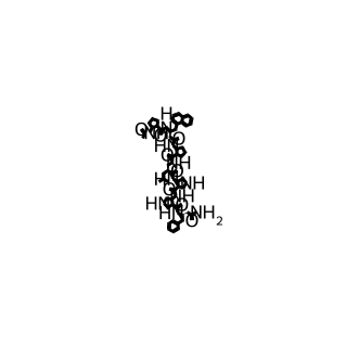 CC(=O)NC1CCCC1C(=O)N[C@H](CC(=O)NC1CCCC1C(=O)NC[C@H](CC(C)C)C(=O)NC1CNCC1C(=O)NC1CNCC1C(=O)N[C@H](CC(N)=O)Cc1ccccc1)Cc1cccc2ccccc12